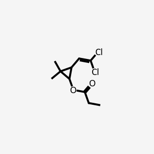 CCC(=O)OC1C(C=C(Cl)Cl)C1(C)C